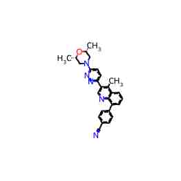 Cc1c(-c2ccc(N3C[C@@H](C)O[C@@H](C)C3)nn2)cnc2c(-c3ccc(C#N)cc3)cccc12